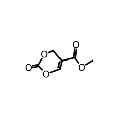 COC(=O)C1=COC(=O)OC1